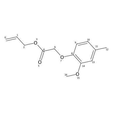 C=CCOC(=O)COc1ccc(C)cc1OC